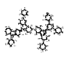 c1ccc(-c2ccc3c(c2)c2cc(-c4ccc5c(c4)c4cc(-c6ccccc6)ccc4n5-c4cc(-c5ccccc5)nc(-c5ccccc5)n4)ccc2n3-c2ccc3c(c2)c2ccccc2n3-c2ccccc2)cc1